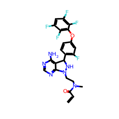 C=CC(=O)N(C)CCN1NC(c2ccc(Oc3c(F)c(F)cc(F)c3F)cc2F)c2c(N)ncnc21